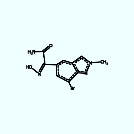 Cn1cc2cc(C(=NO)C(N)=O)cc(Br)c2n1